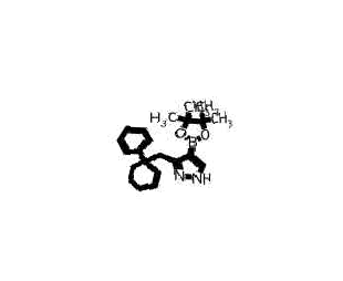 CC1(C)OB(c2c[nH]nc2CC2(c3ccccc3)CCCCC2)OC1(C)C